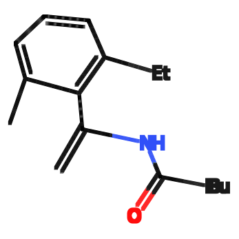 C=C(NC(=O)C(C)CC)c1c(C)cccc1CC